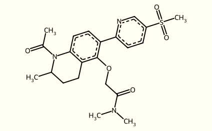 CC(=O)N1c2ccc(-c3ccc(S(C)(=O)=O)cn3)c(OCC(=O)N(C)C)c2CCC1C